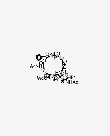 C=C1C(=O)N[C@@H](C)C(=O)N(C)[C@@H](C)C(=O)N[C@@H]([C@H](OC(=O)[C@@H](NC(C)=O)[C@H](O)C(C)C)C(C)C)C(=O)N(C)C([C@@H](C)OC)C(=O)O[C@H](C)[C@H](NC(C)=O)C(=O)O[C@H](Cc2ccccc2)C(=O)N1C